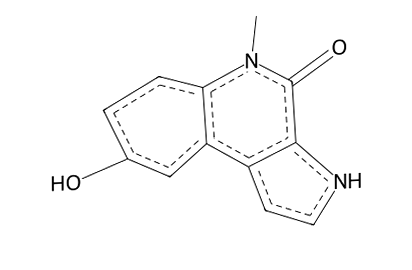 Cn1c(=O)c2[nH]ccc2c2cc(O)ccc21